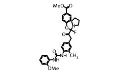 COC(=O)c1ccc(OC(F)(C(=O)Cc2ccc(NC(=O)Nc3ccccc3OC)c(C)c2)N2CCCC2)cc1